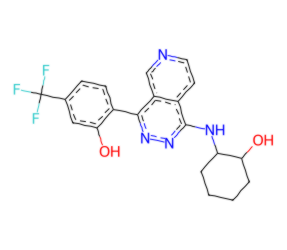 Oc1cc(C(F)(F)F)ccc1-c1nnc(NC2CCCCC2O)c2ccncc12